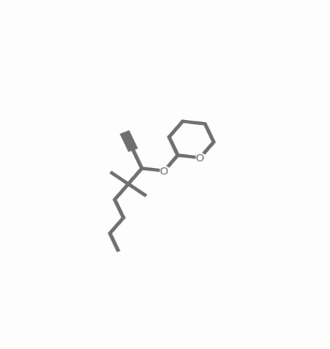 C#CC(OC1CCCCO1)C(C)(C)CCCC